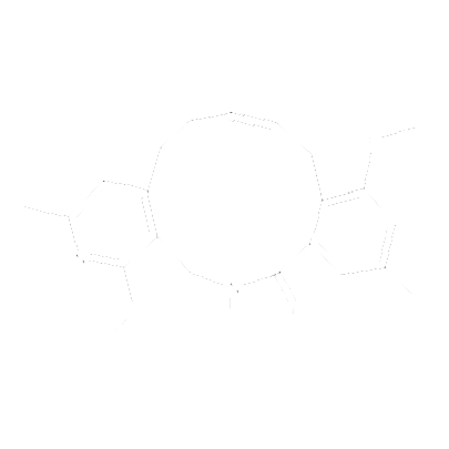 COc1cc(Cl)cc2c1C/C=C\CCc1cc(C)nc(OC)c1CNC2=O